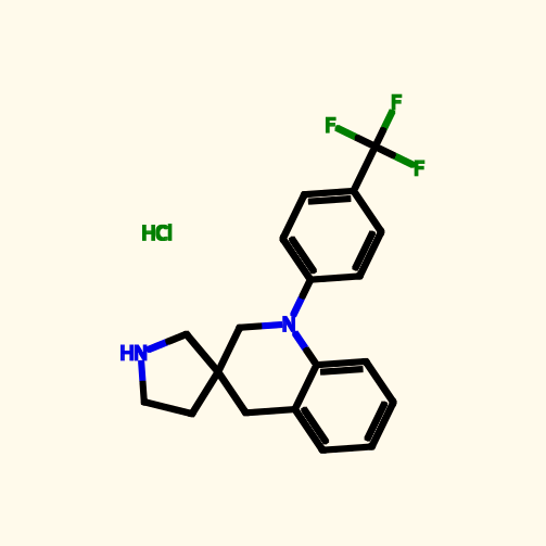 Cl.FC(F)(F)c1ccc(N2CC3(CCNC3)Cc3ccccc32)cc1